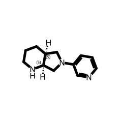 c1cncc(N2C[C@@H]3CCCN[C@@H]3C2)c1